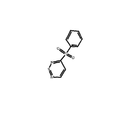 O=S(=O)(C1=NN=[N+]C=C1)c1ccccc1